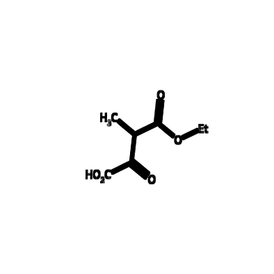 CCOC(=O)C(C)C(=O)C(=O)O